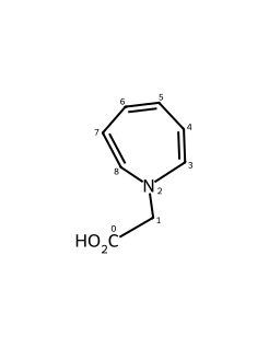 O=C(O)CN1C=CC=CC=C1